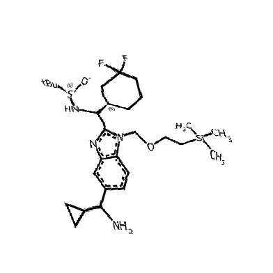 CC(C)(C)[S@@+]([O-])NC(c1nc2cc(C(N)C3CC3)ccc2n1COCC[Si](C)(C)C)[C@@H]1CCCC(F)(F)C1